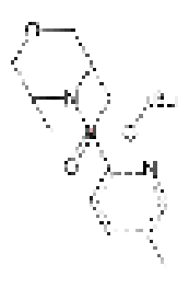 CC(C)(C)OC(=O)N1C2COCC1CN(c1ccc(I)cn1)C2